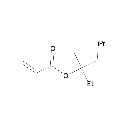 [CH2]CC(C)(CC(C)C)OC(=O)C=C